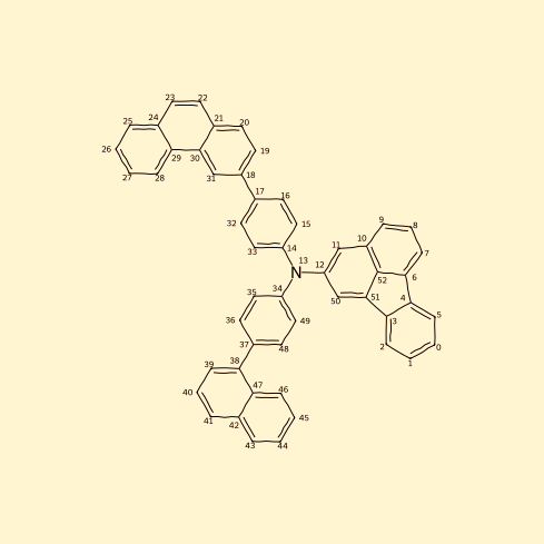 c1ccc2c(c1)-c1cccc3cc(N(c4ccc(-c5ccc6ccc7ccccc7c6c5)cc4)c4ccc(-c5cccc6ccccc56)cc4)cc-2c13